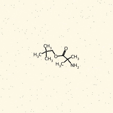 CC(C)(C)COC(=O)C(C)(C)N